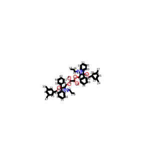 CCCNC(COC(=O)C(=O)OCC(NCCC)C(OCc1cc(C)cc(C)c1)(c1ccccc1)c1ccccc1)C(OCc1cc(C)cc(C)c1)(c1ccccc1)c1ccccc1